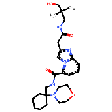 CC(C)(CO)CNC(=O)Cc1cn2c(C(=O)NCC3(N4CCOCC4)CCCCC3)cccc2n1